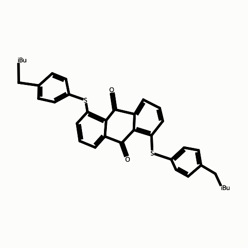 CCC(C)Cc1ccc(Sc2cccc3c2C(=O)c2cccc(Sc4ccc(CC(C)CC)cc4)c2C3=O)cc1